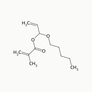 C=CC(OCCCCC)OC(=O)C(=C)C